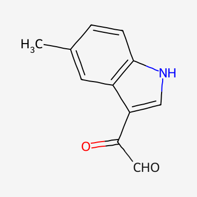 Cc1ccc2[nH]cc(C(=O)C=O)c2c1